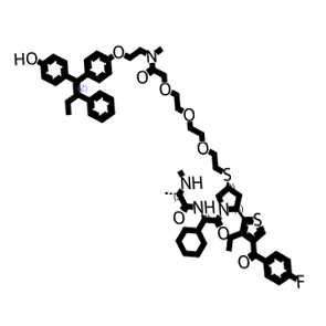 CC/C(=C(\c1ccc(O)cc1)c1ccc(OCCN(C)C(=O)COCCOCCOCCS[C@@H]2C[C@@H](c3scc(C(=O)c4ccc(F)cc4)c3CC)N(C(=O)[C@@H](NC(=O)[C@H](C)NC)C3CCCCC3)C2)cc1)c1ccccc1